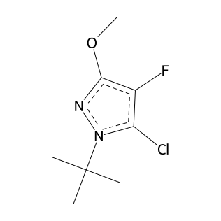 COc1nn(C(C)(C)C)c(Cl)c1F